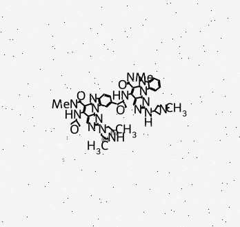 CNC(=O)c1c(NC2COC2)c2cnc(N3C[C@@H](C)N[C@@H](C)C3)nc2n2c1nc1ccc(C3OCC3Nc3c(C(=O)NC)c4nc5ccccc5n4c4nc(NC5CN(C)C5)ncc34)cc12